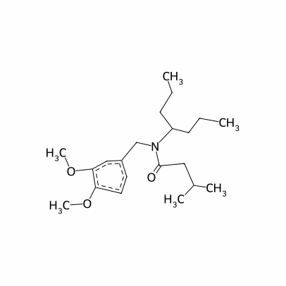 CCCC(CCC)N(Cc1ccc(OC)c(OC)c1)C(=O)CC(C)C